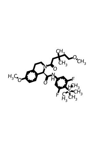 COCCC(C)(C)CC(=O)N1CCc2cc(OC)ccc2[C@@H]1C(=O)Nc1cc(F)c([SH](C)(C)(C)C)c(F)c1